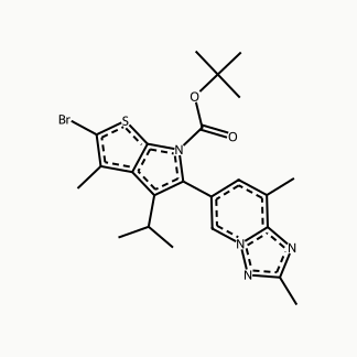 Cc1nc2c(C)cc(-c3c(C(C)C)c4c(C)c(Br)sc4n3C(=O)OC(C)(C)C)cn2n1